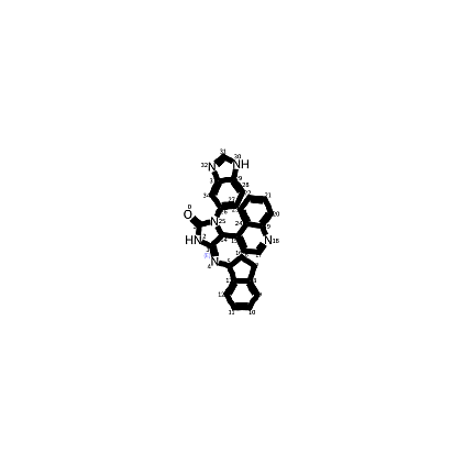 O=C1N/C(=N/C2CCc3ccccc32)C(c2ccnc3ccccc23)N1c1ccc2[nH]cnc2c1